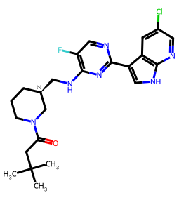 CC(C)(C)CC(=O)N1CCC[C@@H](CNc2nc(-c3c[nH]c4ncc(Cl)cc34)ncc2F)C1